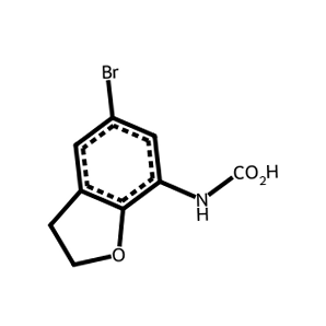 O=C(O)Nc1cc(Br)cc2c1OCC2